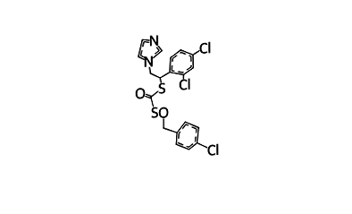 O=C(SOCc1ccc(Cl)cc1)SC(Cn1ccnc1)c1ccc(Cl)cc1Cl